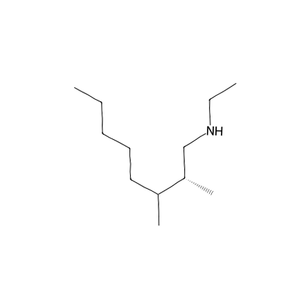 CCCCCC(C)[C@@H](C)CNCC